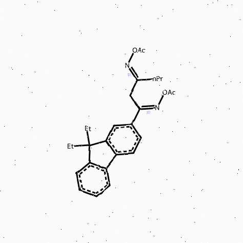 CCC/C(C/C(=N\OC(C)=O)c1ccc2c(c1)C(CC)(CC)c1ccccc1-2)=N\OC(C)=O